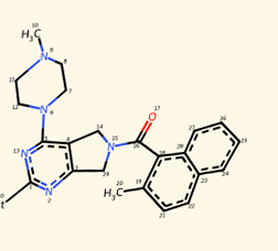 CCc1nc2c(c(N3CCN(C)CC3)n1)CN(C(=O)c1c(C)ccc3ccccc13)C2